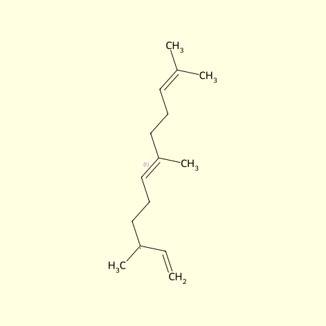 C=C[C](C)CC/C=C(\C)CCC=C(C)C